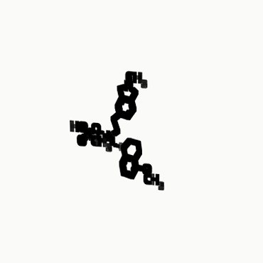 COc1cccc2c1CCC[C@H]2CN(C)CCc1ccc2c(c1)CN(C)C2.CS(=O)(=O)O